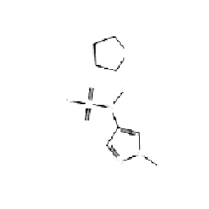 Cn1cc(N(C[C@@H]2CCCO2)S(N)(=O)=O)cn1